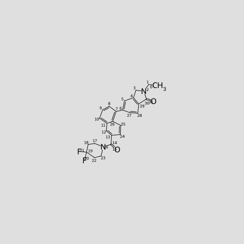 CCN1Cc2cc(-c3cccc4cc(C(=O)N5CCC(F)(F)CC5)ccc34)ccc2C1=O